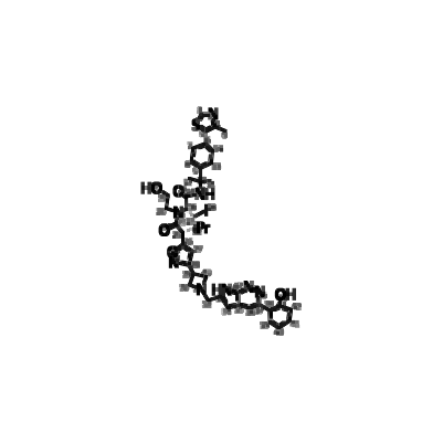 Cc1ncsc1-c1ccc(C(C)(C)NC(=O)[C@H](CI)N(CCO)C(=O)[C@@H](c2cc(C3CN(Cc4cc5cc(-c6ccccc6O)nnc5[nH]4)C3)no2)C(C)C)cc1